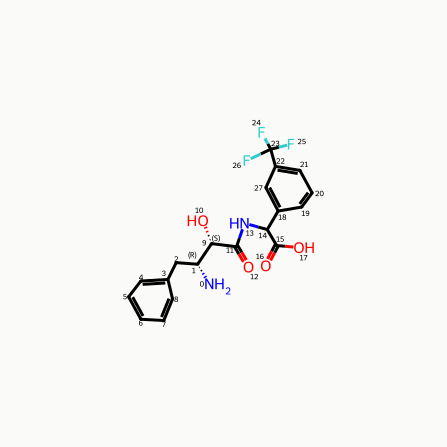 N[C@H](Cc1ccccc1)[C@H](O)C(=O)NC(C(=O)O)c1cccc(C(F)(F)F)c1